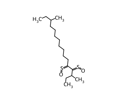 CCC(C)CCCCCCCCC(=S=O)C(=S=O)C(C)CC